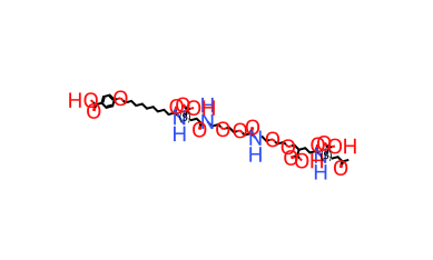 CC(=O)CC[C@H](NC(=O)CCC(COCCOCCNC(=O)COCCOCCNC(=O)CC[C@H](NC(=O)CCCCCCCCCOc1ccc(C(=O)O)cc1)C(=O)O)C(=O)O)C(=O)O